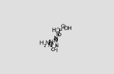 N#Cc1c(I)cccc1-c1cc(-c2cn(Cc3cccc(C4(O)CC(C(=O)O)C4)n3)nn2)nc(N)n1